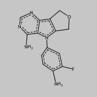 Nc1ccc(-n2c3c(c4ncnc(N)c42)COC3)cc1F